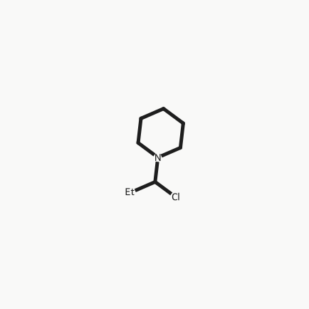 CCC(Cl)N1CCCCC1